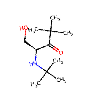 CC(C)(C)N[C@@H](CO)C(=O)C(C)(C)C